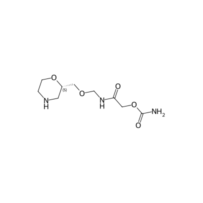 NC(=O)OCC(=O)NCOC[C@@H]1CNCCO1